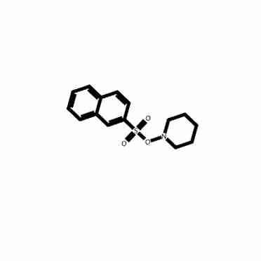 O=S(=O)(ON1CCCCC1)c1ccc2ccccc2c1